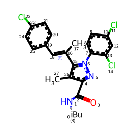 CC[C@@H](C)NC(=O)c1nn(-c2ccc(Cl)cc2Cl)c(/C(C)=C/c2ccc(Cl)cc2)c1C